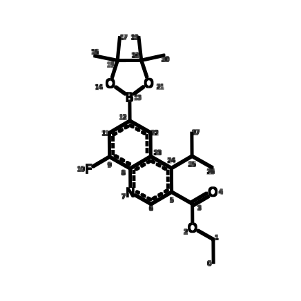 CCOC(=O)c1cnc2c(F)cc(B3OC(C)(C)C(C)(C)O3)cc2c1C(C)C